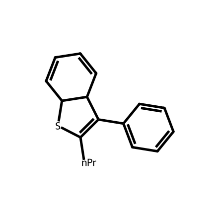 CCCC1=C(c2ccccc2)C2C=CC=CC2S1